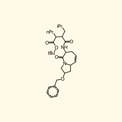 CCCC(C(=O)OC(C)(C)C)C(CC(C)C)C(=O)NC1CC=CC2CC(OCc3ccccc3)CN2C1=O